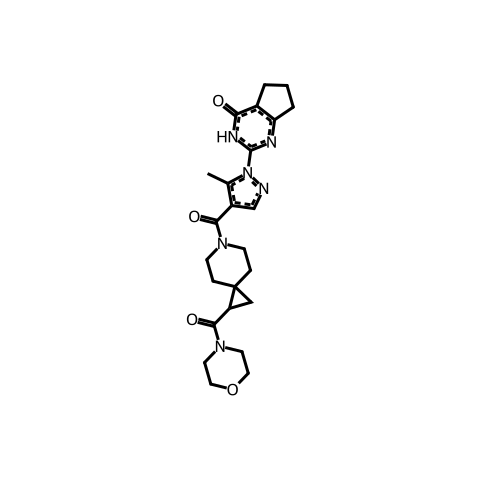 Cc1c(C(=O)N2CCC3(CC2)CC3C(=O)N2CCOCC2)cnn1-c1nc2c(c(=O)[nH]1)CCC2